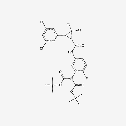 CC(C)(C)OC(=O)N(C(=O)OC(C)(C)C)c1cc(NC(=O)C2C(c3cc(Cl)cc(Cl)c3)C2(Cl)Cl)ccc1F